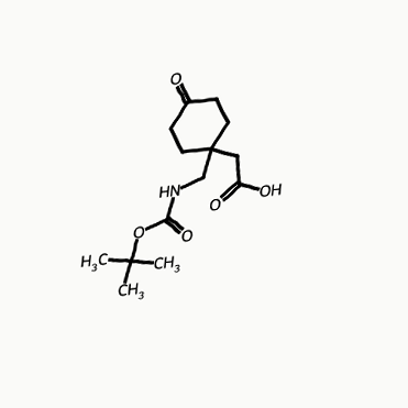 CC(C)(C)OC(=O)NCC1(CC(=O)O)CCC(=O)CC1